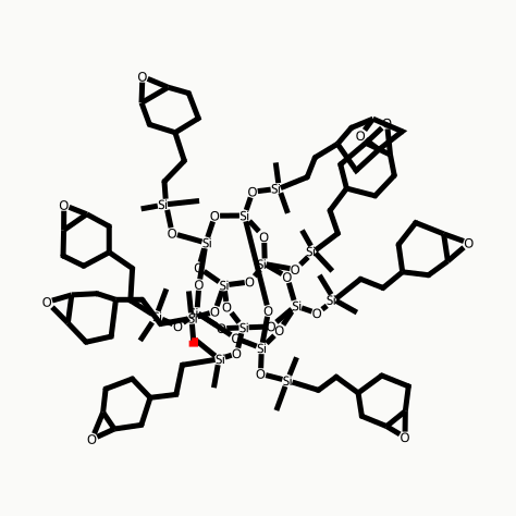 C[Si](C)(CCC1CC2CC(C1)O2)O[Si]12O[Si]3(O[Si](C)(C)CCC4CCC5OC5C4)O[Si]4(O[Si](C)(C)CCC5CCC6OC6C5)O[Si](O[Si](C)(C)CCC5CCC6OC6C5)(O1)O[Si]1(O[Si](C)(C)CCC5CCC6OC6C5)O[Si](O[Si](C)(C)CCC5CCC6OC6C5)(O2)O[Si](O[Si](C)(C)CCC2CCC5OC5C2)(O3)O[Si](O[Si](C)(C)CCC2CCC3OC3C2)(O4)O1